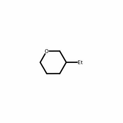 [CH2]CC1CCCOC1